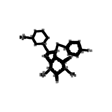 Cn1c(=O)c2c(nc(N3CCCC(N)C3)n2Cc2ccc(F)cc2)n(C)c1=O